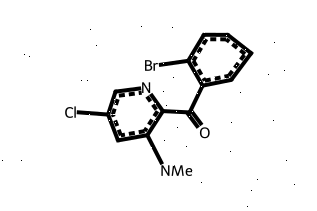 CNc1cc(Cl)cnc1C(=O)c1ccccc1Br